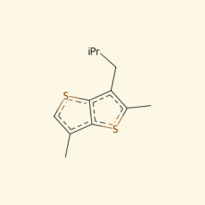 Cc1sc2c(C)csc2c1CC(C)C